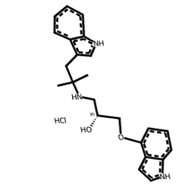 CC(C)(Cc1c[nH]c2ccccc12)NC[C@@H](O)COc1cccc2[nH]ccc12.Cl